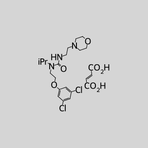 CC(C)N(CCOc1cc(Cl)cc(Cl)c1)C(=O)NCCN1CCOCC1.O=C(O)C=CC(=O)O